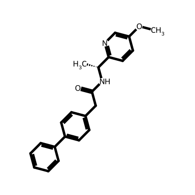 COc1ccc([C@@H](C)NC(=O)Cc2ccc(-c3ccccc3)cc2)nc1